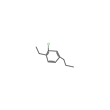 CCCc1ccc(CC)c(Cl)c1